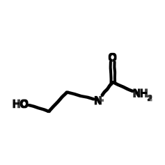 NC(=O)[N]CCO